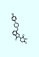 O=C1CCC(N2Cc3c(CN4CCN(c5ccc(Br)cc5)CC4)cccc3C2=O)C(=O)N1